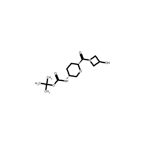 CC(C)(C)OC(=O)N[C@@H]1CC[C@@H](C(=O)N2CC(O)C2)OC1